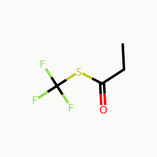 CCC(=O)SC(F)(F)F